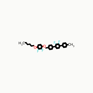 CCCCCCOc1ccc(OCc2ccc(-c3ccc(-c4ccc(C)cc4)c(F)c3F)cc2)c(F)c1F